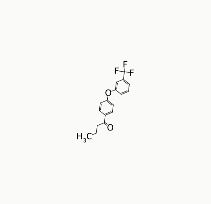 CCCC(=O)c1ccc(Oc2cccc(C(F)(F)F)c2)cc1